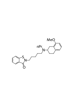 CCCN(CCCCCn1sc2ccccc2c1=O)C1CCc2cccc(OC)c2C1